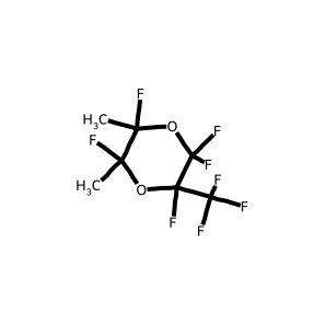 CC1(F)OC(F)(F)C(F)(C(F)(F)F)OC1(C)F